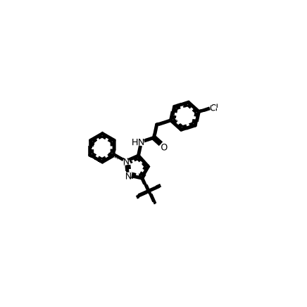 CC(C)(C)c1cc(NC(=O)Cc2ccc(Cl)cc2)n(-c2ccccc2)n1